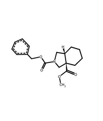 COC(=O)[C@]12CCCC[C@H]1CN(C(=O)OCc1ccccc1)C2